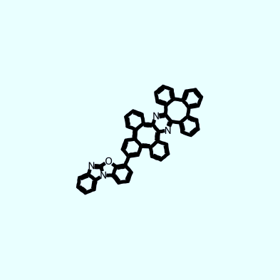 c1ccc2c(c1)nc1oc3c(-c4ccc5c(c4)c4ccccc4c4nc6c7ccccc7c7ccccc7c7ccccc7c6nc4c4ccccc54)cccc3n12